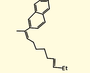 CC/C=C/CCCC/C=C(/C)c1ccc2ccccc2c1